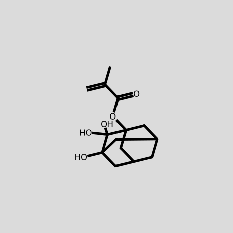 C=C(C)C(=O)OC12CC3CC(CC(O)(C3)C1(O)O)C2